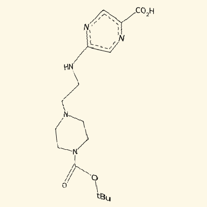 CC(C)(C)OC(=O)N1CCN(CCNc2cnc(C(=O)O)cn2)CC1